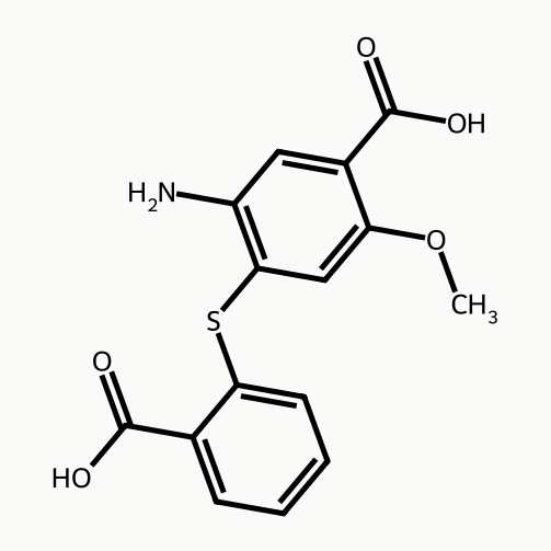 COc1cc(Sc2ccccc2C(=O)O)c(N)cc1C(=O)O